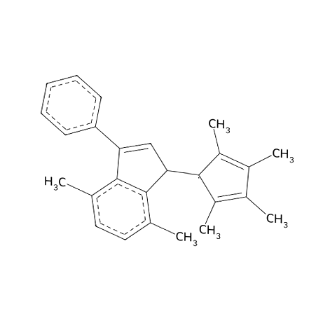 CC1=C(C)C(C)=C(C)[C]1C1C=C(c2ccccc2)c2c(C)ccc(C)c21